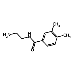 Cc1ccc(C(=O)NCCN)cc1C